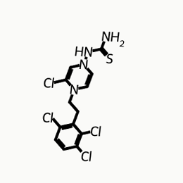 NC(=S)NN1C=CN(CCc2c(Cl)ccc(Cl)c2Cl)C(Cl)=C1